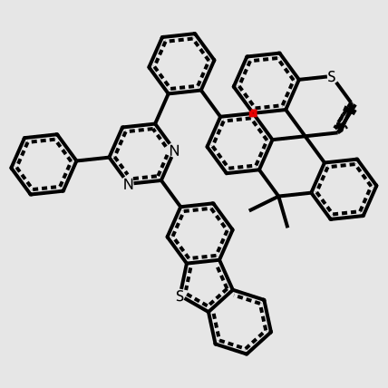 CC1(C)c2ccccc2C2(c3ccccc3Sc3ccccc32)c2cc(-c3ccccc3-c3cc(-c4ccccc4)nc(-c4ccc5c(c4)sc4ccccc45)n3)ccc21